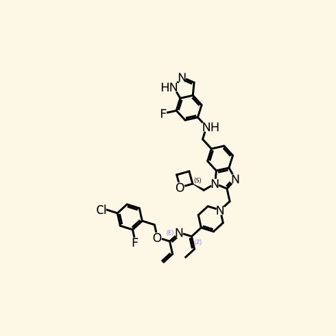 C=C/C(=N\C(=C/C)C1=CCN(Cc2nc3ccc(CNc4cc(F)c5[nH]ncc5c4)cc3n2C[C@@H]2CCO2)CC1)OCc1ccc(Cl)cc1F